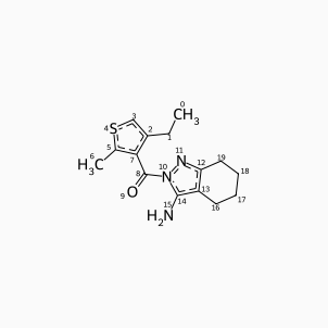 CCc1csc(C)c1C(=O)n1nc2c(c1N)CCCC2